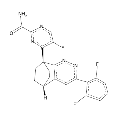 NC(=O)c1ncc(F)c([C@]23CC[C@H](CC2)c2cc(-c4c(F)cccc4F)nnc23)n1